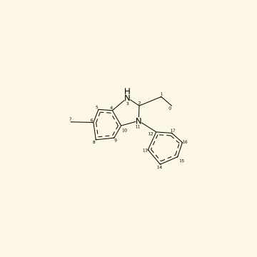 CCC1Nc2cc(C)ccc2N1c1ccccc1